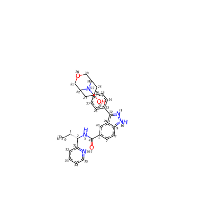 CC(C)C[C@H](NC(=O)c1ccc2[nH]nc(-c3ccc(N4C5COCC4CC(O)C5)cc3)c2c1)c1ccccn1